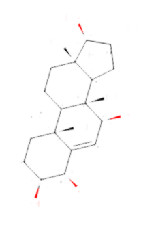 C[C@]12CC[C@H]3[C@@H]([C@@H](O)C=C4[C@@H](O)[C@@H](O)CC[C@@]43C)[C@@H]1C[C@@H](O)[C@@H]2O